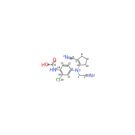 N#CCN(C1=C(C#N)CCC1)c1ccc(NC(=O)O)c(Cl)c1